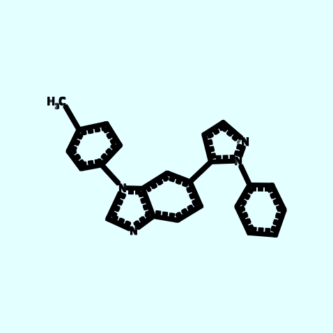 Cc1ccc(-n2cnc3ccc(-c4ccnn4-c4ccccc4)cc32)cc1